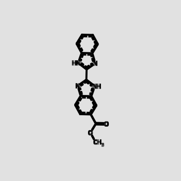 COC(=O)c1ccc2nc(-c3nc4ccccc4[nH]3)[nH]c2c1